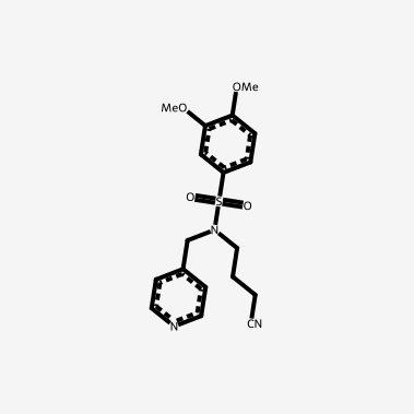 COc1ccc(S(=O)(=O)N(CCCC#N)Cc2ccncc2)cc1OC